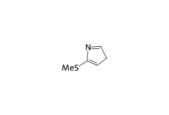 CSC1=CCC=N1